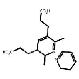 C1=CCCN=C1.CC1=NC(C)C(CCC(=O)O)C=C1CCC(=O)O